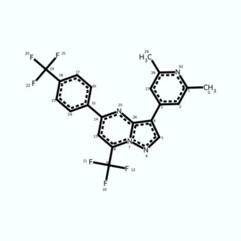 Cc1cc(-c2cnn3c(C(F)(F)F)cc(-c4ccc(C(F)(F)F)cc4)nc23)cc(C)n1